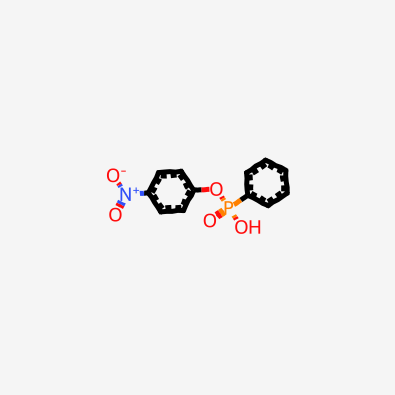 O=[N+]([O-])c1ccc(OP(=O)(O)c2ccccc2)cc1